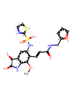 COc1c(/C=C/C(=O)NCc2ccco2)c(NS(=O)(=O)c2nccs2)cc2c1NC(=O)C2=O